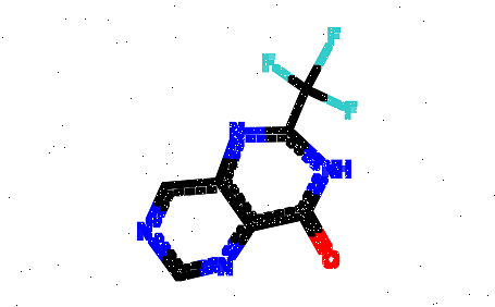 O=c1[nH]c(C(F)(F)F)nc2cncnc12